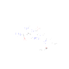 CCC(Cn1nnc2c(C(N)=O)ncn2c1=O)=NOC